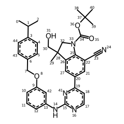 CC(C)c1ccc(COc2cccc(Nc3nccc(-c4cc(C#N)c5c(c4)C(C)(CO)CN5C(=O)OC(C)(C)C)n3)c2)cc1